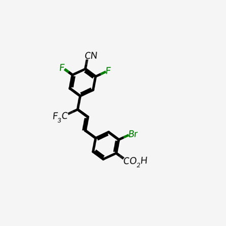 N#Cc1c(F)cc(C(C=Cc2ccc(C(=O)O)c(Br)c2)C(F)(F)F)cc1F